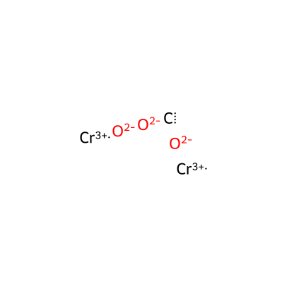 [C].[Cr+3].[Cr+3].[O-2].[O-2].[O-2]